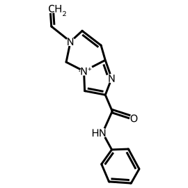 C=CN1C=CC2=NC(C(=O)Nc3ccccc3)=C[N+]2C1